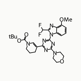 COc1cccc2c1nc(C(F)F)n2-c1nc(C2=CN(C(=O)OC(C)(C)C)CCC2)nc(N2CCOCC2)n1